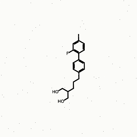 Cc1ccc(-c2ccc(CCCC(CO)CO)cc2)c(F)c1